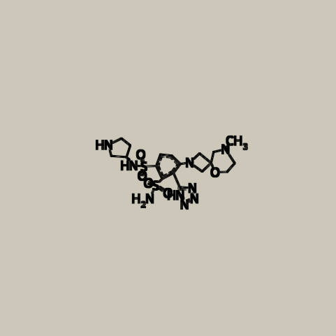 CN1CCOC2(C1)CN(c1ccc(S(=O)(=O)N[C@@H]3CCNC3)c(S(N)(=O)=O)c1-c1nnn[nH]1)C2